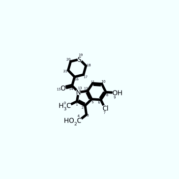 Cc1c(CC(=O)O)c2c(Cl)c(O)ccc2n1C(=O)C1CCSCC1